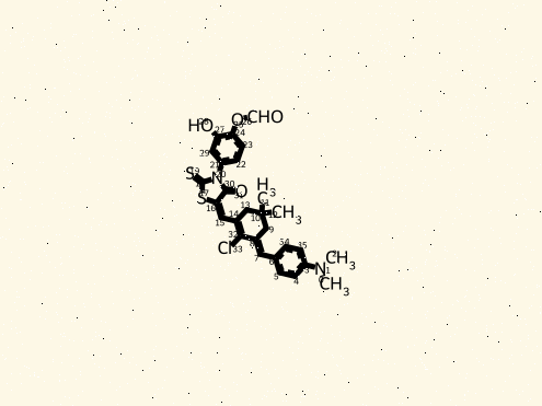 CN(C)c1ccc(/C=C2\CC(C)(C)CC(/C=C3/SC(=S)N(c4ccc(OC=O)c(O)c4)C3=O)=C2Cl)cc1